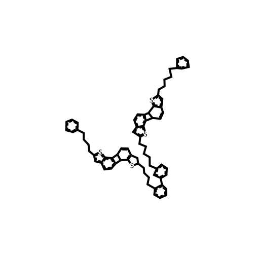 C1=CC2c3c(ccc4cc(CCCCc5ccccc5)sc34)C2C2=C1CC(CCCCc1ccccc1-c1cccc(CCCCCc3cc4ccc5c(c4s3)C3C=Cc4cc(CCCCCc6ccccc6)sc4C53)c1)S2